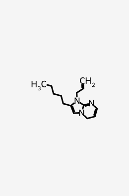 C=CCN1C(CCCCC)=CN2CC=CN=C21